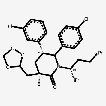 CC(C)CC[C@H](C(C)C)N1C(=O)[C@@](C)(CC2OCOO2)C[C@H](c2cccc(Cl)c2)C1c1ccc(Cl)cc1